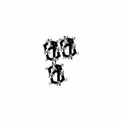 C1N2CN3CN1CN(C2)C3.C1N2CN3CN1CN(C2)C3.C1N2CN3CN1CN(C2)C3